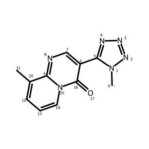 [CH2]n1nnnc1-c1cnc2c(C)cccn2c1=O